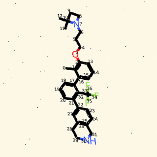 Cc1c(OCCCN2CCC2(C)C)cccc1-c1cccc(-c2ccc3c(c2)CCNC3)c1C(F)(F)F